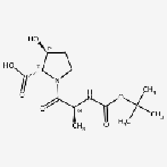 C[C@H](NC(=O)OC(C)(C)C)C(=O)N1CC[C@H](O)[C@H]1C(=O)O